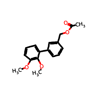 COc1cccc(-c2cccc(COC(C)=O)c2)c1OC